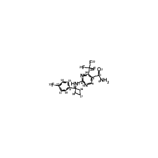 NC(=O)c1cnc(NC2(c3ccc(F)cc3)CCC2)nc1C(F)(F)F